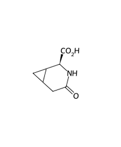 O=C1CC2CC2[C@@H](C(=O)O)N1